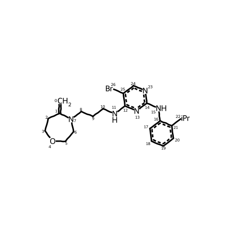 C=C1CCOCCN1CCCNc1nc(Nc2ccccc2C(C)C)ncc1Br